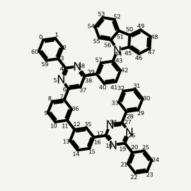 c1ccc(-c2nc(-c3cccc(-c4cccc(-c5nc(-c6ccccc6)nc(-c6ccccc6)n5)c4)c3)cc(-c3cccc(-n4c5ccccc5c5ccccc54)c3)n2)cc1